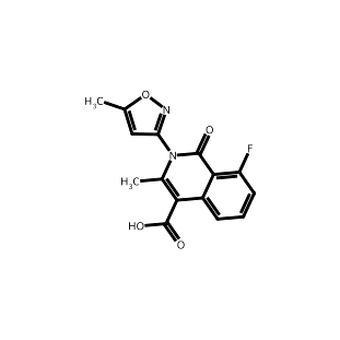 Cc1cc(-n2c(C)c(C(=O)O)c3cccc(F)c3c2=O)no1